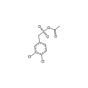 CC(=O)OS(=O)(=O)Cc1ccc(Cl)c(Cl)c1